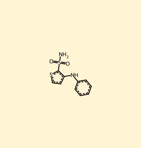 NS(=O)(=O)c1sccc1Nc1ccccc1